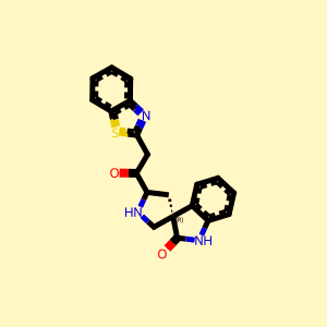 O=C(Cc1nc2ccccc2s1)C1C[C@@]2(CN1)C(=O)Nc1ccccc12